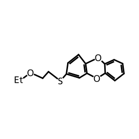 CCOCCSc1ccc2c(c1)Oc1ccccc1O2